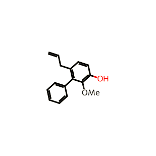 C=CCc1ccc(O)c(OC)c1-c1ccccc1